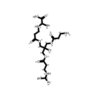 CCCC(=O)C(NCCC(=O)OCC(CC)(COC(=O)CCN)COC(=O)CCNC(C(C)=O)C(C)C)C(C)C